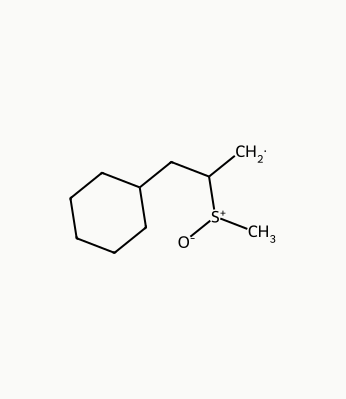 [CH2]C(CC1CCCCC1)[S+](C)[O-]